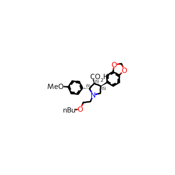 CCCCOCCN1C[C@H](c2ccc3c(c2)OCO3)[C@H](C(=O)O)[C@H]1c1ccc(OC)cc1